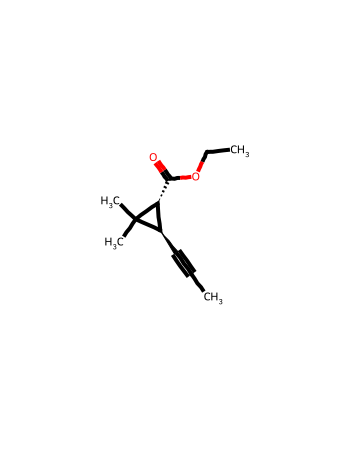 CC#C[C@@H]1[C@@H](C(=O)OCC)C1(C)C